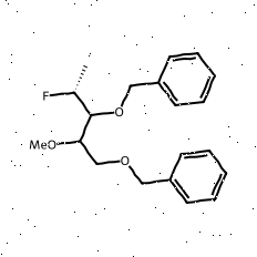 COC(COCc1ccccc1)C(OCc1ccccc1)[C@@H](C)F